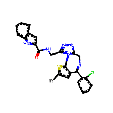 CC(C)c1cc2c(s1)-n1c(nnc1CNC(=O)c1cc3ccccc3[nH]1)CN=C2c1ccccc1Cl